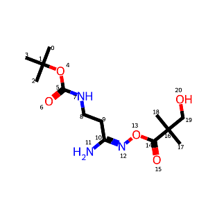 CC(C)(C)OC(=O)NCC/C(N)=N\OC(=O)C(C)(C)CO